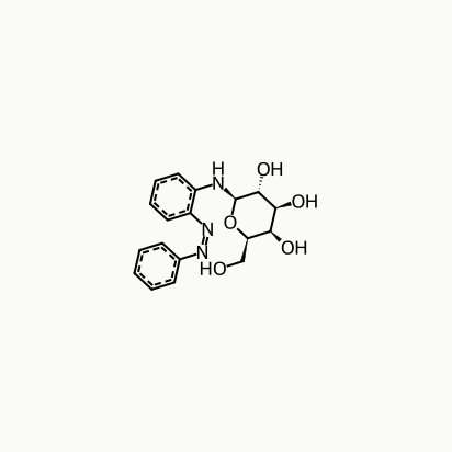 OC[C@H]1O[C@@H](Nc2ccccc2N=Nc2ccccc2)[C@H](O)[C@@H](O)[C@H]1O